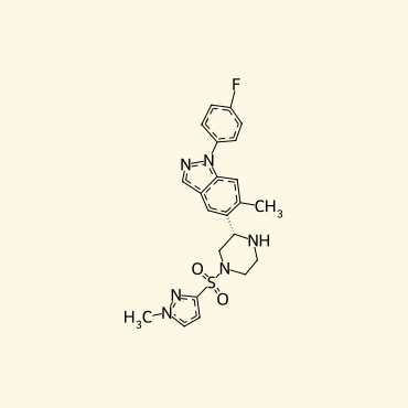 Cc1cc2c(cnn2-c2ccc(F)cc2)cc1[C@H]1CN(S(=O)(=O)c2ccn(C)n2)CCN1